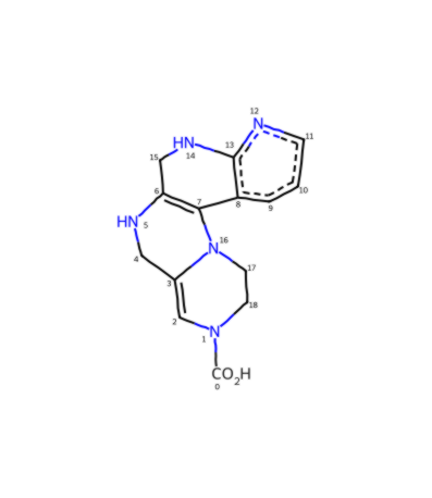 O=C(O)N1C=C2CNC3=C(c4cccnc4NC3)N2CC1